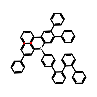 c1ccc(-c2cccc(N(c3ccc(-c4ccccc4-c4ccccc4-c4ccccc4)cc3)c3cc(-c4ccccc4)c(-c4ccccc4)cc3-c3ccccc3)c2)cc1